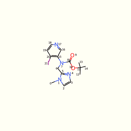 Cn1ccnc1CN(C(=O)OC(C)(C)C)c1cnccc1I